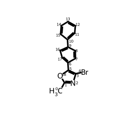 Cc1nc(Br)c(-c2ccc(-c3ccccc3)cc2)o1